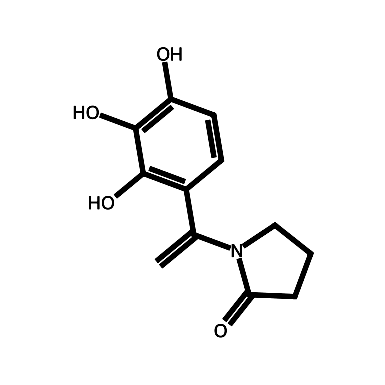 C=C(c1ccc(O)c(O)c1O)N1CCCC1=O